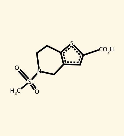 CS(=O)(=O)N1CCc2sc(C(=O)O)cc2C1